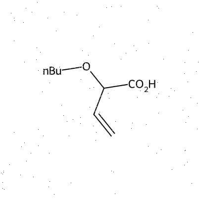 C=CC(OCCCC)C(=O)O